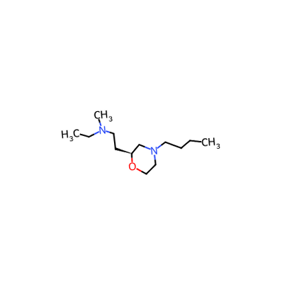 CCCCN1CCO[C@@H](CCN(C)CC)C1